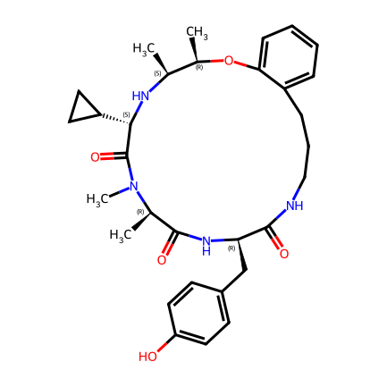 C[C@@H]1N[C@@H](C2CC2)C(=O)N(C)[C@H](C)C(=O)N[C@H](Cc2ccc(O)cc2)C(=O)NCCCc2ccccc2O[C@@H]1C